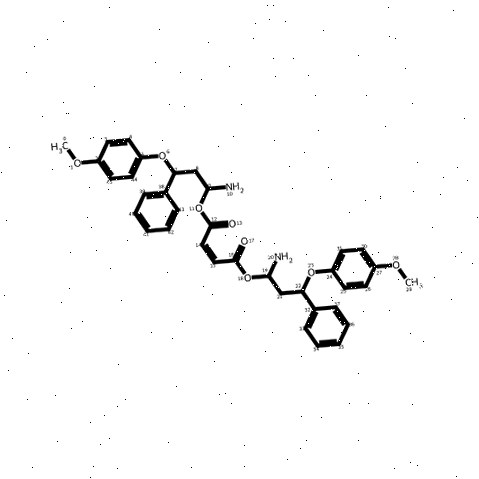 COc1ccc(OC(CC(N)OC(=O)/C=C\C(=O)OC(N)CC(Oc2ccc(OC)cc2)c2ccccc2)c2ccccc2)cc1